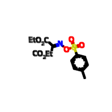 CCOC(=O)C(=NOS(=O)(=O)c1ccc(C)cc1)C(=O)OCC